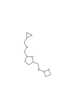 C1CC(OCC2CCC(COCC3CO3)O2)O1